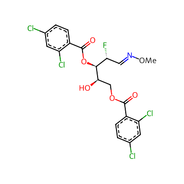 CON=C[C@@H](F)[C@H](OC(=O)c1ccc(Cl)cc1Cl)[C@H](O)COC(=O)c1ccc(Cl)cc1Cl